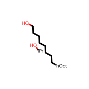 CC(C)O.CCCCCCCCCCCCCCCCO